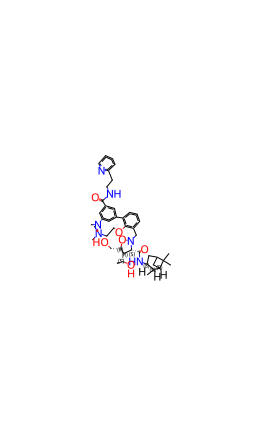 C[C@@H]1[C@@H](NC(=O)[C@@H]2[C@H]([C@H](C)O)[C@H](CO)ON2Cc2cccc(-c3cc(C(=O)NCCc4ccccn4)cc(N(C)C)c3)c2OCCN(C)C)CC2C[C@@H]1C2(C)C